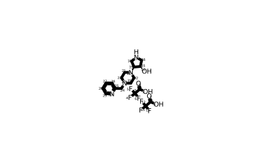 O=C(O)C(F)(F)F.O=C(O)C(F)(F)F.O[C@H]1CNC[C@@H]1N1CCN(Cc2ccccn2)CC1